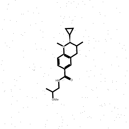 COC(C)CNC(=O)c1ccc2c(c1)CC(C)[C@H](C1CC1)N2C